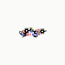 Cc1ccc(S(=O)(=O)n2cc(-c3nc(-c4cccc([C@@]5(O)CCN(CC(F)(F)F)C5=O)c4)cs3)c3nccnc32)cc1